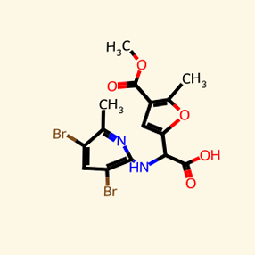 COC(=O)c1cc(C(Nc2nc(C)c(Br)cc2Br)C(=O)O)oc1C